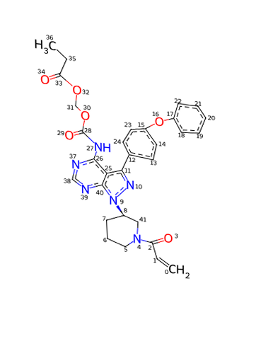 C=CC(=O)N1CCC[C@@H](n2nc(-c3ccc(Oc4ccccc4)cc3)c3c(NC(=O)OCOC(=O)CC)ncnc32)C1